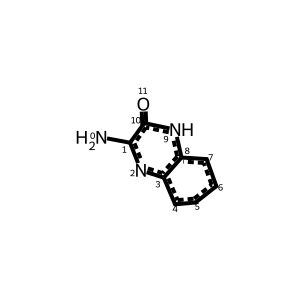 Nc1nc2[c]cccc2[nH]c1=O